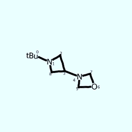 CC(C)(C)N1CC(N2COC2)C1